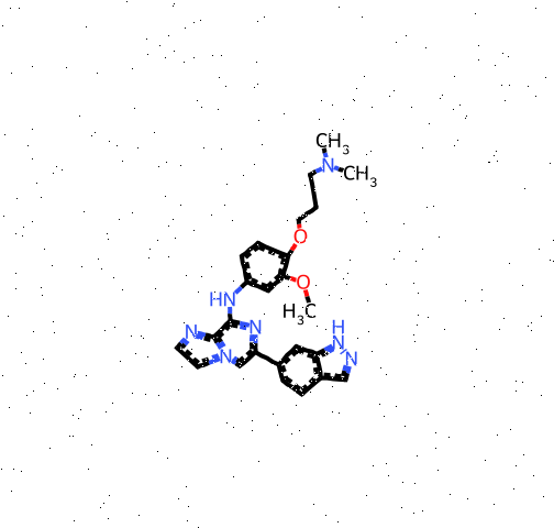 COc1cc(Nc2nc(-c3ccc4cn[nH]c4c3)cn3ccnc23)ccc1OCCCN(C)C